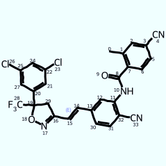 Cc1cc(C#N)ccc1C(=O)Nc1cc(/C=C/C2=NOC(c3cc(Cl)cc(Cl)c3)(C(F)(F)F)C2)ccc1C#N